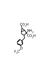 NC1(C(=O)O)C(Cc2cccc(OC(F)(F)F)c2)CC2C(C(=O)O)C21